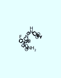 NC(=O)O[C@H]1CCC[C@@H]1[C@](CN1CCC1)(c1cccc(F)c1)C1CCN(C2CC[C@H](Nc3ccc(S(=O)(=O)C4CC4)cc3)C2)CC1